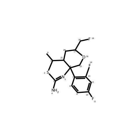 CC1SC(N)=NC2(c3ccc(F)cc3F)COC(CF)CC12